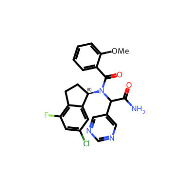 COc1ccccc1C(=O)N(C(C(N)=O)c1cncnc1)[C@@H]1CCc2c(F)cc(Cl)cc21